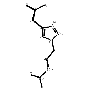 CC(C)Cc1cn(CCOC(C)C)nn1